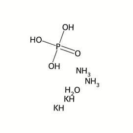 N.N.O.O=P(O)(O)O.[KH].[KH]